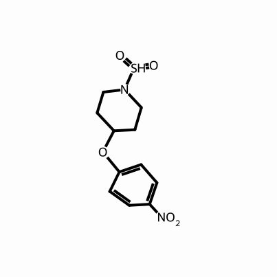 O=[N+]([O-])c1ccc(OC2CCN([SH](=O)=O)CC2)cc1